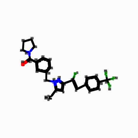 Cc1cc(C(F)=Cc2ccc(C(F)(F)F)cc2)nn1Cc1cccc(C(=O)N2CCCC2)c1